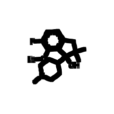 CCOc1c(F)ccc2c1C(O)(C1CCN(C)CC1)C(C)(C)C2